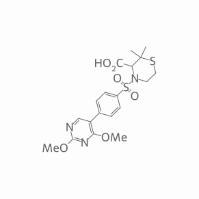 COc1ncc(-c2ccc(S(=O)(=O)N3CCSC(C)(C)C3C(=O)O)cc2)c(OC)n1